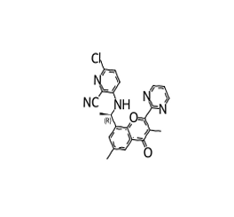 Cc1cc([C@@H](C)Nc2ccc(Cl)nc2C#N)c2oc(-c3ncccn3)c(C)c(=O)c2c1